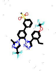 CCc1cc(OC(F)(F)F)ccc1-c1cnnn1-c1cc(-c2cccc(S(C)(=O)=O)c2)ccc1-n1cc(C(F)(F)F)nc1C